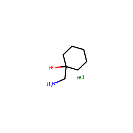 Cl.NCC1(O)CCCCC1